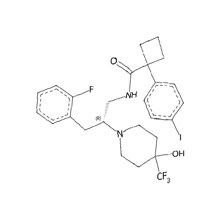 O=C(NC[C@@H](Cc1ccccc1F)N1CCC(O)(C(F)(F)F)CC1)C1(c2ccc(I)cc2)CCC1